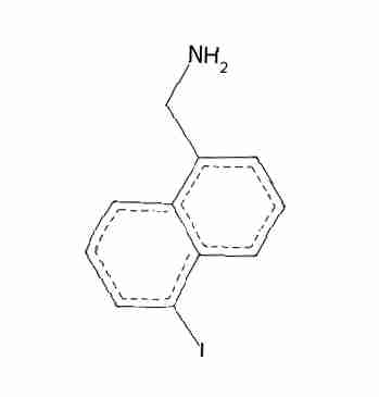 NCc1cccc2c(I)cccc12